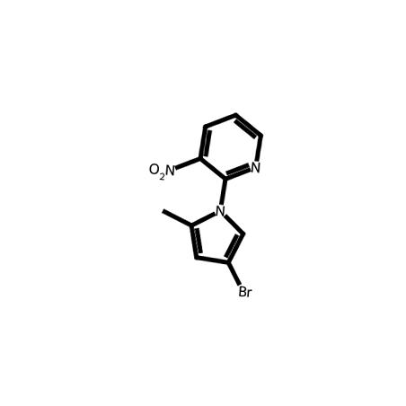 Cc1cc(Br)cn1-c1ncccc1[N+](=O)[O-]